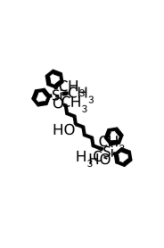 CC(C)(CCCCC(O)CCCO[Si](c1ccccc1)(c1ccccc1)C(C)(C)C)[Si](O)(c1ccccc1)c1ccccc1